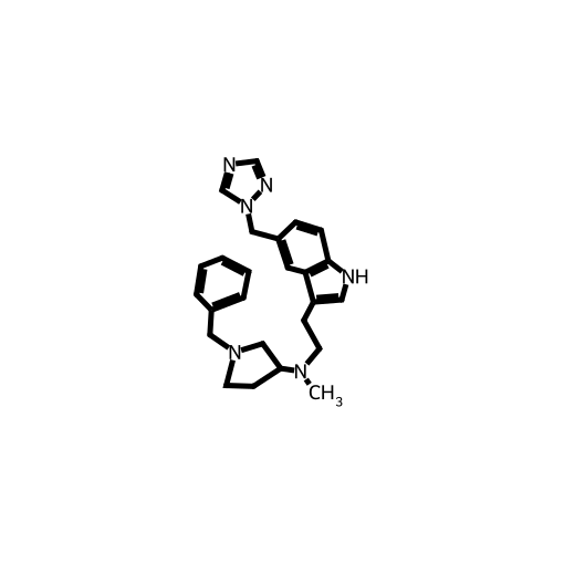 CN(CCc1c[nH]c2ccc(Cn3cncn3)cc12)C1CCN(Cc2ccccc2)C1